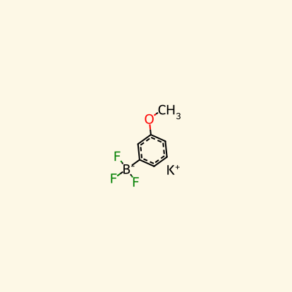 COc1cccc([B-](F)(F)F)c1.[K+]